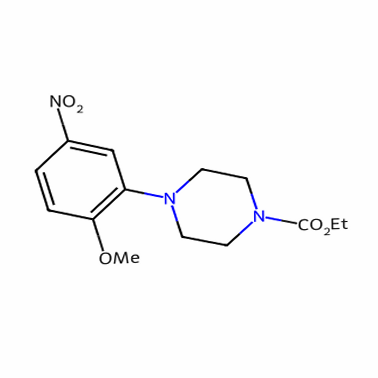 CCOC(=O)N1CCN(c2cc([N+](=O)[O-])ccc2OC)CC1